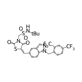 CC(C)(C)NS(=O)(=O)CN1C(=O)SC(=Cc2ccc3c(cnn3Cc3ccc(C(F)(F)F)cc3C(F)(F)F)c2)C1=O